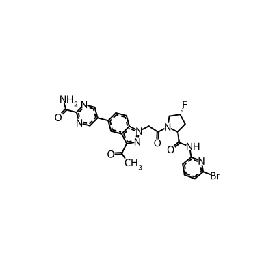 CC(=O)c1nn(CC(=O)N2C[C@H](F)C[C@H]2C(=O)Nc2cccc(Br)n2)c2ccc(-c3cnc(C(N)=O)nc3)cc12